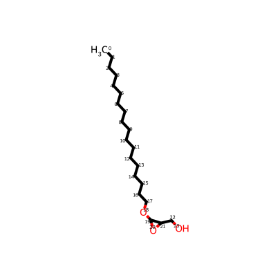 CCCCCCCCCCCCCCCCCCOC1OC1CO